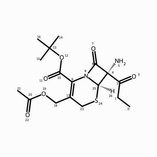 CCC(=O)[C@]1(N)C(=O)N2C(C(=O)OC(C)(C)C)=C(COC(C)=O)CS[C@@H]21